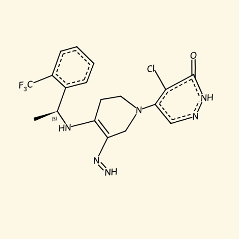 C[C@H](NC1=C(N=N)CN(c2cn[nH]c(=O)c2Cl)CC1)c1ccccc1C(F)(F)F